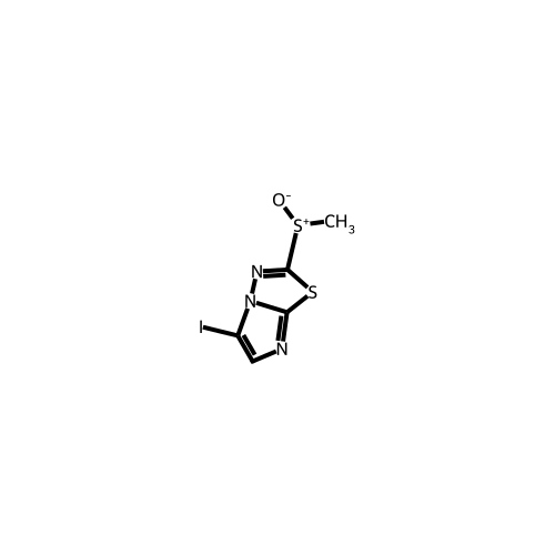 C[S+]([O-])c1nn2c(I)cnc2s1